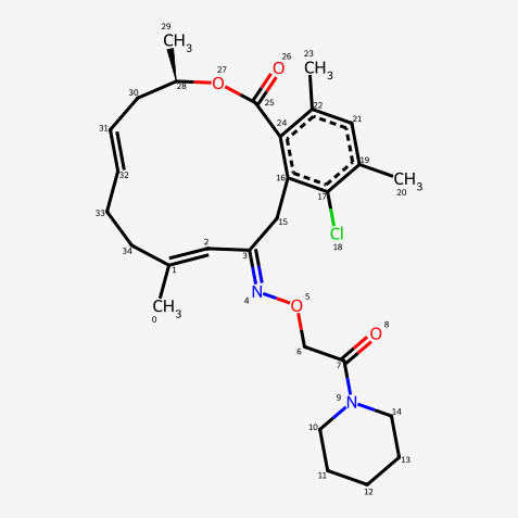 C/C1=C\C(=N\OCC(=O)N2CCCCC2)Cc2c(Cl)c(C)cc(C)c2C(=O)O[C@H](C)C/C=C/CC1